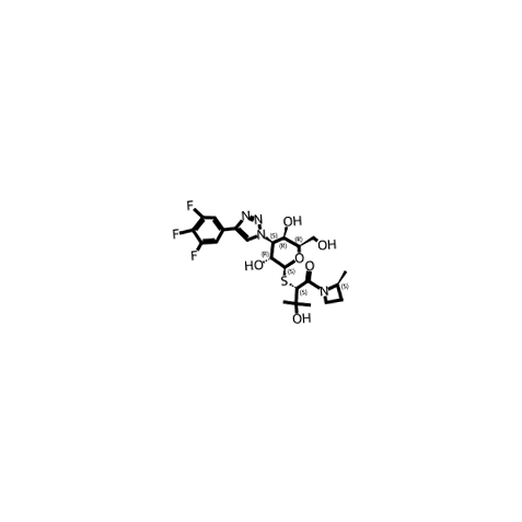 C[C@H]1CCN1C(=O)[C@@H](S[C@@H]1O[C@H](CO)[C@H](O)[C@H](n2cc(-c3cc(F)c(F)c(F)c3)nn2)[C@H]1O)C(C)(C)O